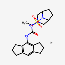 CCN1CC2CCC(C1)N2S(=O)(=O)NC(=O)Nc1c2c(cc3c1CCC3)CCC2.[K]